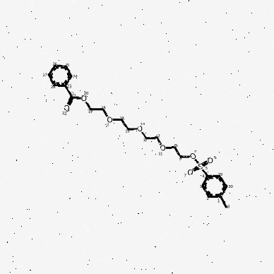 Cc1ccc(S(=O)(=O)OCCOCCOCCOCCOC(=O)c2ccccc2)cc1